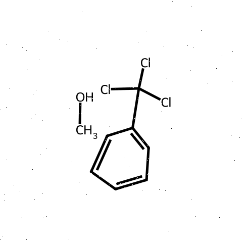 CO.ClC(Cl)(Cl)c1ccccc1